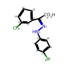 O=C(O)/C(=N/Nc1ccc(Br)cc1)c1cccc(Cl)c1